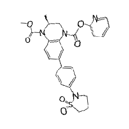 COC(=O)N1c2ccc(-c3ccc(N4CCCS4(=O)=O)cc3)cc2N(C(=O)Oc2ccccn2)C[C@@H]1C